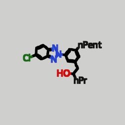 CCCCCc1cc(CC(O)CCC)cc(-n2nc3ccc(Cl)cc3n2)c1